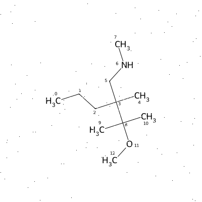 CCCC(C)(CNC)C(C)(C)OC